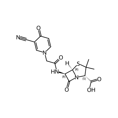 CC1(C)S[C@@H]2[C@H](NC(=O)Cn3ccc(=O)c(C#N)c3)C(=O)N2[C@H]1C(=O)O